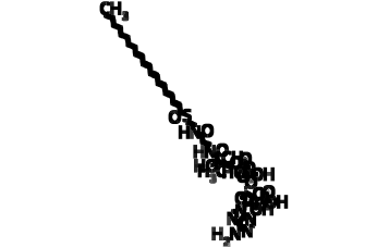 CCCCCCCCCC=CC=CC=CC=CC=CC=CC(=O)SCCNC(=O)CCNC(=O)[C@H](O)C(C)(C)COP(=O)(O)OP(=O)(O)OC[C@H]1O[C@@H](n2cnc3c(N)ncnc32)[C@H](O)[C@@H]1OP(=O)(O)O